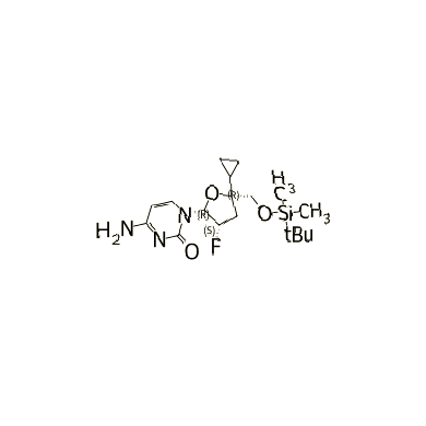 CC(C)(C)[Si](C)(C)OC[C@]1(C2CC2)C[C@H](F)[C@H](n2ccc(N)nc2=O)O1